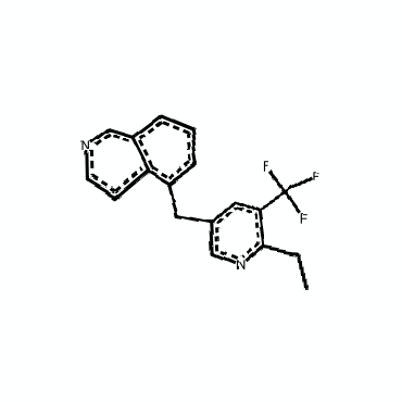 CCc1ncc(Cc2cccc3cnccc23)cc1C(F)(F)F